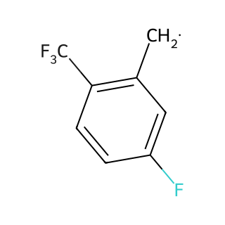 [CH2]c1cc(F)ccc1C(F)(F)F